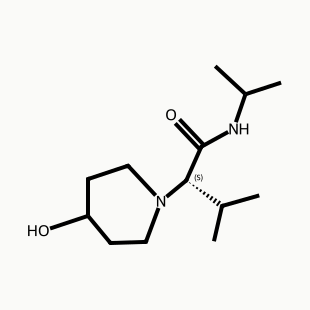 CC(C)NC(=O)[C@H](C(C)C)N1CCC(O)CC1